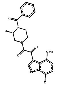 COc1cnc(Cl)c2[nH]cc(C(=O)C(=O)N3CCN(C(=O)c4ccccc4)[C@H](C)C3)c12